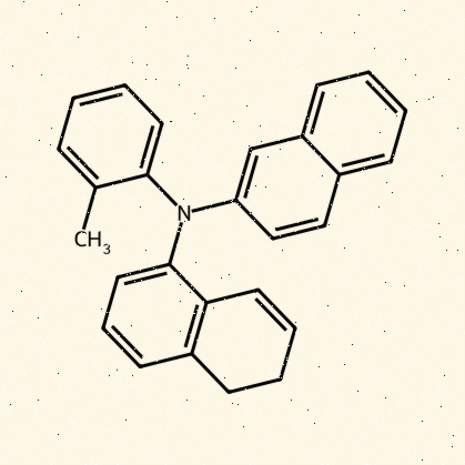 Cc1ccccc1N(c1ccc2ccccc2c1)c1cccc2c1C=CCC2